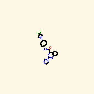 O=C(N[C@H]1CC[C@H](N2CC(F)(F)C2)CC1)c1nc(-n2ccnc2)nc2c1CCC2